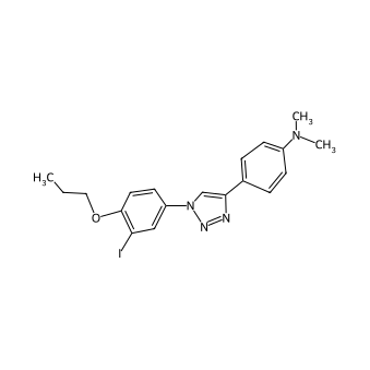 CCCOc1ccc(-n2cc(-c3ccc(N(C)C)cc3)nn2)cc1I